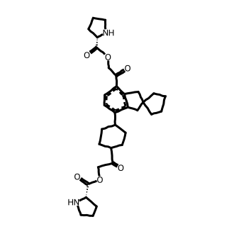 O=C(COC(=O)[C@@H]1CCCN1)c1ccc(C2CCC(C(=O)COC(=O)[C@@H]3CCCN3)CC2)c2c1CC1(CCCC1)C2